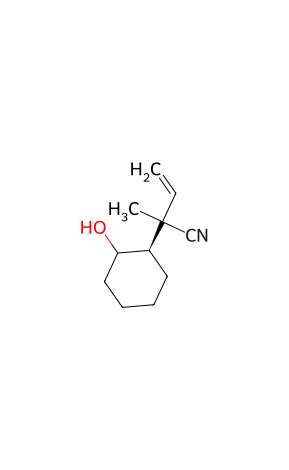 C=CC(C)(C#N)[C@H]1CCCCC1O